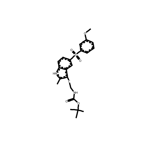 COc1cccc(S(=O)(=O)c2ccc3[nH]c(C)c(CCNC(=O)OC(C)(C)C)c3c2)c1